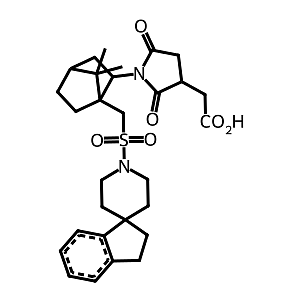 CC1(C)C2CCC1(CS(=O)(=O)N1CCC3(CCc4ccccc43)CC1)C(N1C(=O)CC(CC(=O)O)C1=O)C2